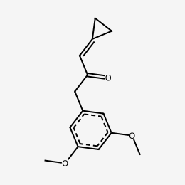 COc1cc(CC(=O)C=C2CC2)cc(OC)c1